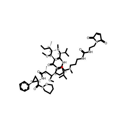 CC[C@H](C)[C@@H]([C@@H](CC(=O)N1CCC[C@H]1C(OC)[C@@H](C)C(=O)N[C@@]1(C(=O)N2CCCCO2)C[C@@H]1c1ccccc1)OC)N(C)[C@H](C(=O)NC(=O)[C@H](C(C)C)N(C)CCCNC(=O)NCCN1C(=O)C=CC1=O)C(C)C